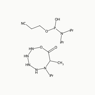 CC(C)N(C(C)C)P(O)OCCC#N.CC(C)N1NNNNOC(=O)C1C